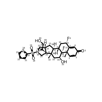 C[C@]12C=CC(=O)C=C1[C@@H](F)C[C@H]1[C@@H]3C[C@H]4CN(S(=O)(=O)c5cccs5)C[C@@]4(C(=O)CO)[C@@]3(C)C[C@H](O)[C@@]12F